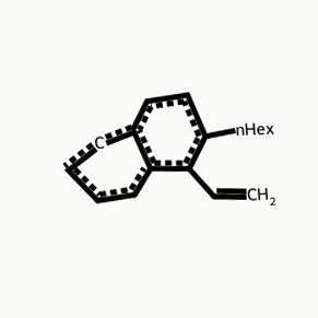 C=Cc1c(CCCCCC)ccc2ccccc12